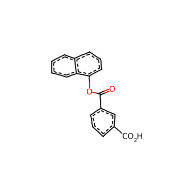 O=C(O)c1cccc(C(=O)Oc2cccc3ccccc23)c1